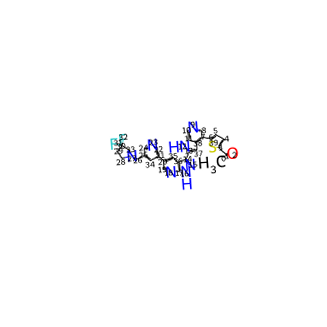 CC(=O)c1ccc(-c2cncc3[nH]c(-c4n[nH]c5ncc(-c6cncc(CN7CCC(F)(F)C7)c6)cc45)cc23)s1